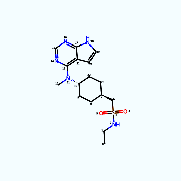 CCNS(=O)(=O)C[C@H]1CC[C@H](N(C)c2ncnc3[nH]ccc23)CC1